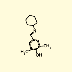 Cc1cc(/C=N/C2CCCCC2)cc(C)c1O